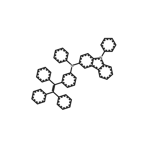 c1ccc(C(=C(c2ccccc2)c2cccc(N(c3ccccc3)c3ccc4c(c3)c3ccccc3n4-c3ccccc3)c2)c2ccccc2)cc1